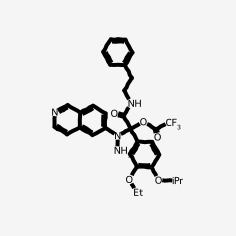 CCOc1cc(C(OC(=O)C(F)(F)F)(C(=O)NCCc2ccccc2)N(N)c2ccc3cnccc3c2)ccc1OC(C)C